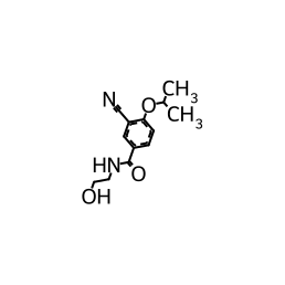 CC(C)Oc1ccc(C(=O)NCCO)cc1C#N